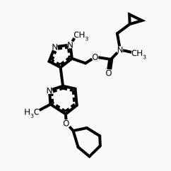 Cc1nc(-c2cnn(C)c2COC(=O)N(C)CC2CC2)ccc1OC1CCCCC1